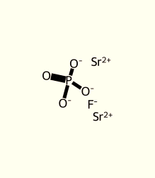 O=P([O-])([O-])[O-].[F-].[Sr+2].[Sr+2]